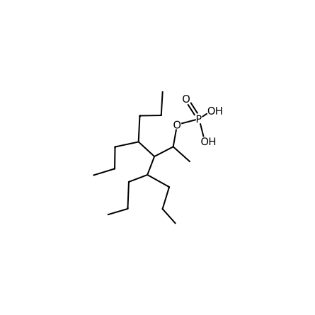 CCCC(CCC)C(C(CCC)CCC)C(C)OP(=O)(O)O